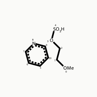 COCCOS(=O)(=O)O.c1ccncc1